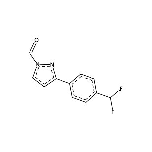 O=Cn1ccc(-c2ccc(C(F)F)cc2)n1